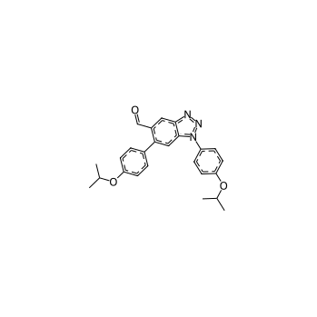 CC(C)Oc1ccc(-c2cc3c(cc2C=O)nnn3-c2ccc(OC(C)C)cc2)cc1